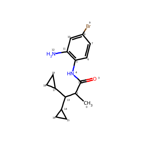 CC(C(=O)Nc1ccc(Br)cc1N)C(C1CC1)C1CC1